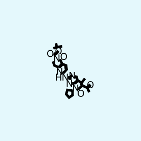 CC(=O)c1c(C)c2cnc(Nc3ccc4c(n3)CCN(C(=O)OC(C)(C)C)C4=O)nc2n(C2CCCC2)c1=O